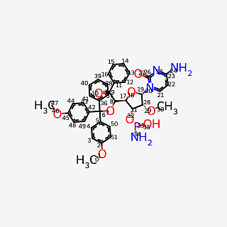 COc1ccc(C(OC(C(=O)c2ccccc2)[C@H]2O[C@@H](n3ccc(N)nc3=O)[C@H](OC)[C@@H]2OP(N)O)(c2ccccc2)c2ccc(OC)cc2)cc1